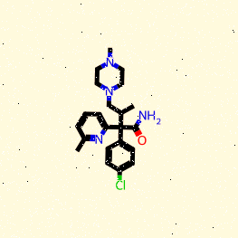 Cc1cccc(C(C(N)=O)(c2ccc(Cl)cc2)C(C)CN2CCN(C)CC2)n1